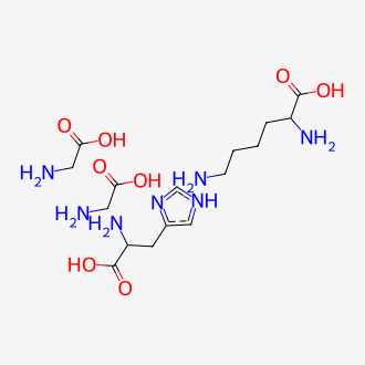 NC(Cc1c[nH]cn1)C(=O)O.NCC(=O)O.NCC(=O)O.NCCCCC(N)C(=O)O